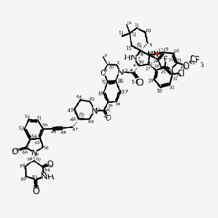 C[C@H]1CN(C(=O)[C@@H]2N[C@]3(CCCC(C)(C)C3)[C@@]3(CNc4cc(OC(F)(F)F)ncc43)[C@H]2c2cccc(Cl)c2F)c2ccc(C(=O)N3CCC[C@@H](CC#Cc4cccc5c4CN([C@H]4CCC(=O)NC4=O)C5=O)C3)cc2O1